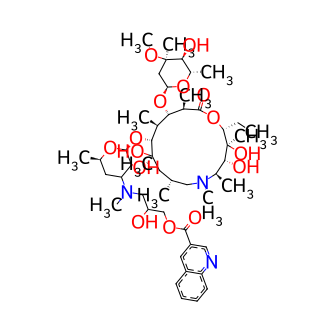 CC[C@H]1OC(=O)[C@H](C)[C@@H](O[C@H]2C[C@@](C)(OC)[C@@H](O)[C@H](C)O2)[C@H](C)[C@@H](O[C@@H]2O[C@H](C)CC(N(C)CC(O)COC(=O)c3cnc4ccccc4c3)[C@H]2O)[C@](C)(O)C[C@@H](C)CN(C)[C@H](C)[C@@H](O)[C@]1(C)O